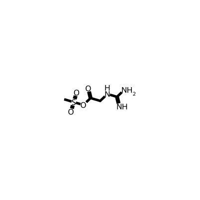 CS(=O)(=O)OC(=O)CNC(=N)N